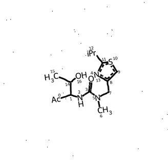 CC(=O)C(NC(=O)N(C)Cc1csc(C(C)C)n1)C(C)O